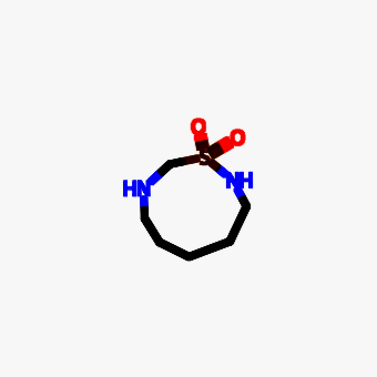 O=S1(=O)CNCCCCCN1